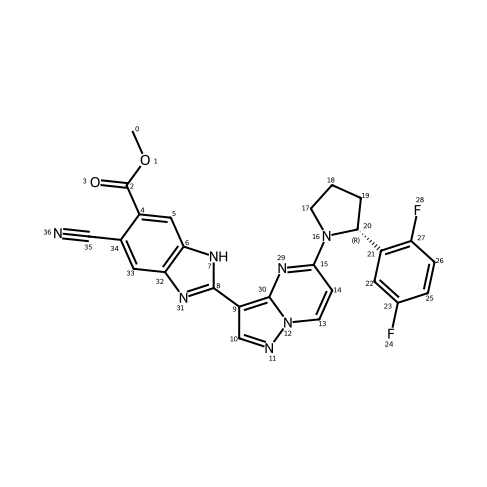 COC(=O)c1cc2[nH]c(-c3cnn4ccc(N5CCC[C@@H]5c5cc(F)ccc5F)nc34)nc2cc1C#N